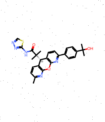 Cc1ccc2c(n1)Oc1nc(-c3ccc(C(C)(C)O)cc3)ccc1[C@H]2C(C)(C)C(=O)Nc1nncs1